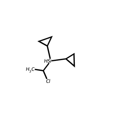 CC(Cl)[SiH](C1CC1)C1CC1